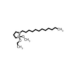 CCCCCCCCCCCCN1CCC[Si]1(OC)OCC